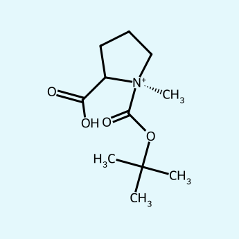 CC(C)(C)OC(=O)[N@+]1(C)CCCC1C(=O)O